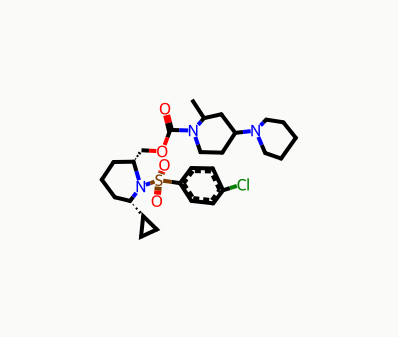 CC1CC(N2CCCCC2)CCN1C(=O)OC[C@H]1CCC[C@@H](C2CC2)N1S(=O)(=O)c1ccc(Cl)cc1